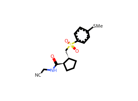 CSc1ccc(S(=O)(=O)C[C@@H]2CCC[C@H]2C(=O)NCC#N)cc1